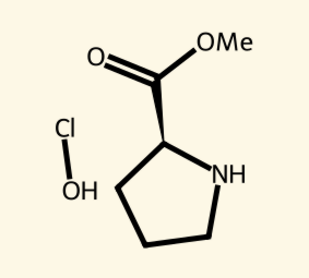 COC(=O)[C@@H]1CCCN1.OCl